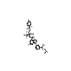 Cc1ccc(S(=O)(=O)OCC(O)(CNc2cc(C)cc3c2cnn3-c2cccc(C(=O)OCC(C)C)c2)C(F)(F)F)cc1